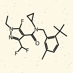 CCn1nc(C(F)F)c(C(=O)N(Cc2cc(C)ccc2C(C)(C)C)C2CC2)c1F